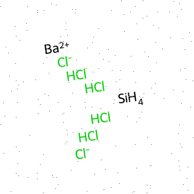 Cl.Cl.Cl.Cl.[Ba+2].[Cl-].[Cl-].[SiH4]